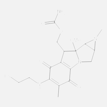 COC12C(COC(N)=O)C3=C(C(=O)C(C)=C(NCCS)C3=O)N1CC1C2N1C